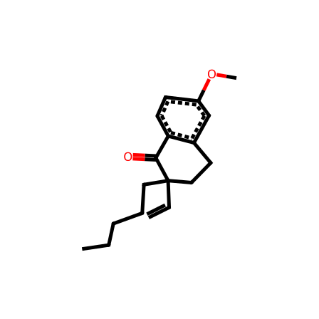 C=CC1(CCCCC)CCc2cc(OC)ccc2C1=O